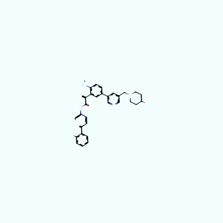 C=C(/C=C\C(=C/C)NC(=O)C(=C)c1cc(-c2cncc(CN3CCC(O)CC3)c2)ccc1NC)c1ccccc1F